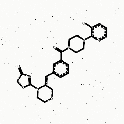 O=C1CSC(N2CCSCC2=Cc2cccc(C(=O)N3CCN(c4ncccc4Cl)CC3)c2)=N1